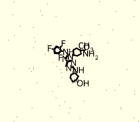 C[C@]1(C(N)=O)CC[C@@H](n2c(Nc3c(F)cc(F)cc3F)nc3cnc(N[C@@H]4CCC[C@H](O)C4)nc32)CC1